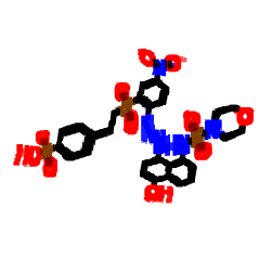 O=[N+]([O-])c1ccc(N=Nc2ccc(O)c3cccc(NS(=O)(=O)N4CCOCC4)c23)c(S(=O)(=O)CCc2ccc(S(=O)(=O)O)cc2)c1